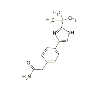 CC(C)(C)c1nc(-c2ccc(CC(N)=O)cc2)c[nH]1